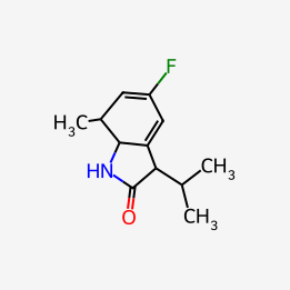 CC(C)C1C(=O)NC2C1=CC(F)=CC2C